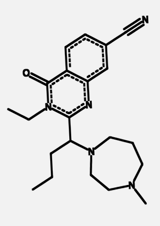 CCCC(c1nc2cc(C#N)ccc2c(=O)n1CC)N1CCCN(C)CC1